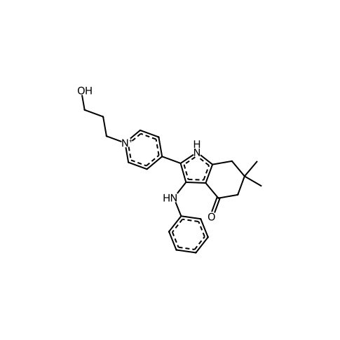 CC1(C)CC(=O)c2c([nH]c(-c3cc[n+](CCCO)cc3)c2Nc2ccccc2)C1